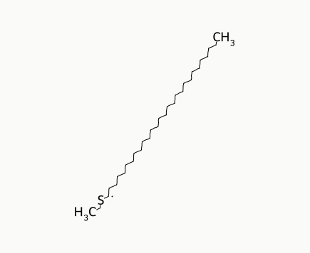 CCCCCCCCCCCCCCCCCCCCCCCCCCC[CH]SCC